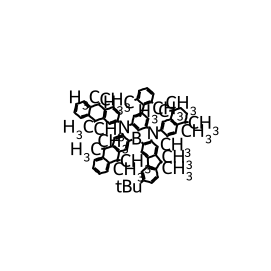 Cc1cc2c(cc1N1c3cc4c(cc3B3c5cc6c(cc5N(c5ccc7c(c5)C(C)(C)c5ccccc5C7(C)C)c5cc(-c7c(C)cccc7C)cc1c53)C(C)(C)c1ccccc1C6(C)C)-c1cc(C(C)(C)C)ccc1C4(C)C)C(C)(C)CCC2(C)C